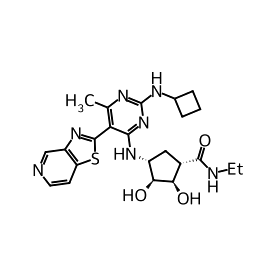 CCNC(=O)[C@H]1C[C@@H](Nc2nc(NC3CCC3)nc(C)c2-c2nc3cnccc3s2)[C@H](O)[C@@H]1O